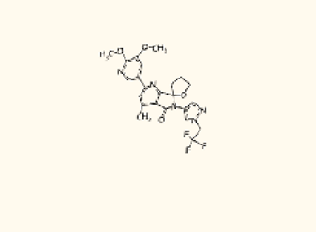 COc1cc(-c2cc(C)c3c(n2)C2(CCCO2)N(c2cnn(CC(F)(F)F)c2)C3=O)cnc1OC